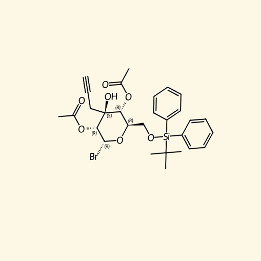 C#CC[C@]1(O)[C@H](OC(C)=O)[C@@H](CO[Si](c2ccccc2)(c2ccccc2)C(C)(C)C)O[C@H](Br)[C@@H]1OC(C)=O